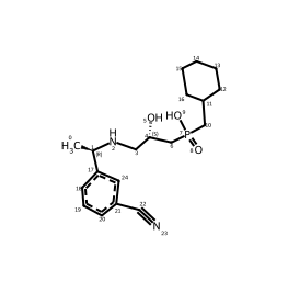 C[C@@H](NC[C@H](O)CP(=O)(O)CC1CCCCC1)c1cccc(C#N)c1